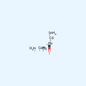 [Cd].[GeH4].[InH3].[O]=[Pb].[SnH4].[Zn]